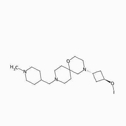 CN1CCC(CN2CCC3(CC2)CN([C@H]2C[C@H](OI)C2)CCO3)CC1